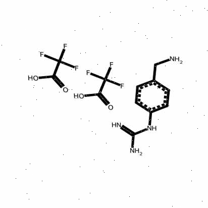 N=C(N)Nc1ccc(CN)cc1.O=C(O)C(F)(F)F.O=C(O)C(F)(F)F